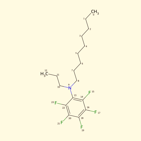 CCCCCCCCCN(CCC)c1c(F)c(F)c(F)c(F)c1F